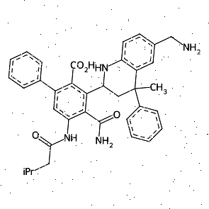 CC(C)CC(=O)Nc1cc(-c2ccccc2)c(C(=O)O)c(C2CC(C)(c3ccccc3)c3cc(CN)ccc3N2)c1C(N)=O